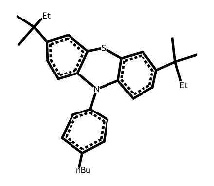 CCCCc1ccc(N2c3ccc(C(C)(C)CC)cc3Sc3cc(C(C)(C)CC)ccc32)cc1